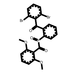 COc1cccc(OC)c1C(=O)[P](=O)c1ccccc1C(=O)c1c(Br)cccc1Br